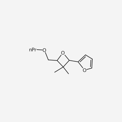 CCCOCC1OC(c2ccco2)C1(C)C